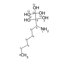 CCCCCCC(N)C(O)(O)C(O)(O)O